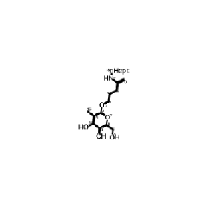 C=C(CCCOC1OC(CO)C(O)C(O)C1C)NCCCCCCC